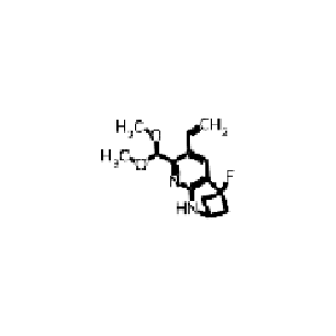 C=Cc1cc2c(nc1C(OC)OC)NC1CC2(F)C1